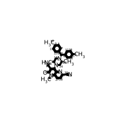 Cc1ccc(C(c2ccc(C)cc2)N2C[C@H](C)N(c3c(C#N)c(=O)n(C)c4ccc(C#N)nc34)C[C@H]2C)cc1